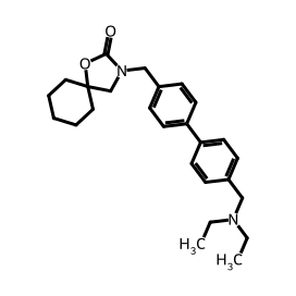 CCN(CC)Cc1ccc(-c2ccc(CN3CC4(CCCCC4)OC3=O)cc2)cc1